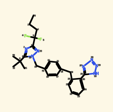 CCCC(F)(F)c1nc(C(C)(C)C)n(Cc2ccc(Cc3ccccc3-c3nnn[nH]3)cc2)n1